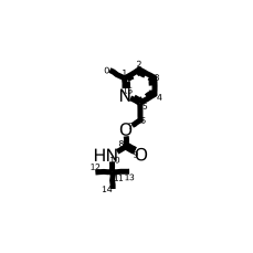 Cc1cccc(COC(=O)NC(C)(C)C)n1